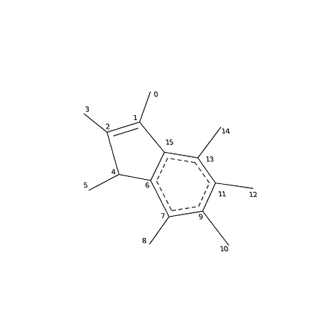 CC1=C(C)C(C)c2c(C)c(C)c(C)c(C)c21